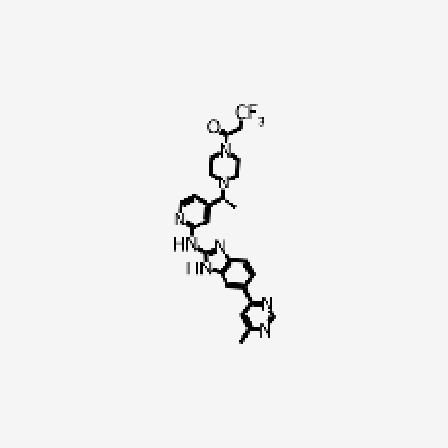 Cc1cc(-c2ccc3nc(Nc4cc([C@H](C)N5CCN(C(=O)CC(F)(F)F)CC5)ccn4)[nH]c3c2)ncn1